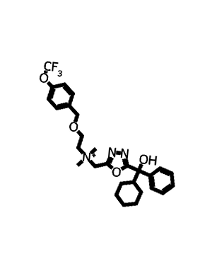 C[N+](C)(CCOCc1ccc(OC(F)(F)F)cc1)Cc1nnc(C(O)(c2ccccc2)C2CCCCC2)o1